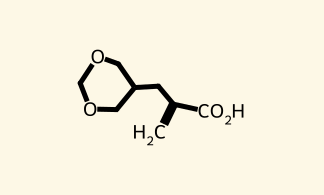 C=C(CC1COCOC1)C(=O)O